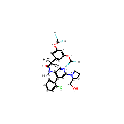 CN(C(=O)C(C)(C)c1cc(OC(F)F)cc(OC(F)F)c1)c1cnc(N2CCCC2CO)cc1-c1ccccc1Cl